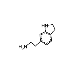 NCCc1ccc2c(c1)NCC2